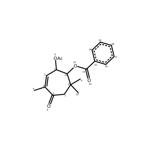 CC(=O)OC1C=C(C)C(=O)CC(C)(C)C1OC(=O)c1ccccc1